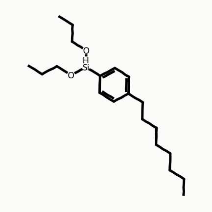 CCCCCCCCc1ccc([SiH](OCCC)OCCC)cc1